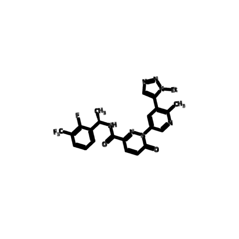 CCn1nncc1-c1cc(-n2nc(C(=O)N[C@H](C)c3cccc(C(F)(F)F)c3F)ccc2=O)cnc1C